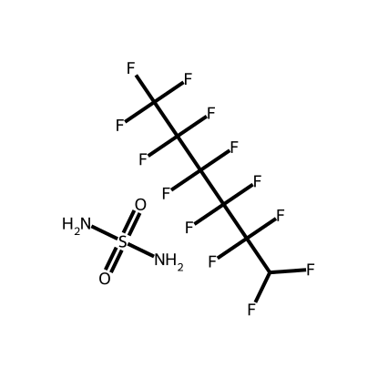 FC(F)C(F)(F)C(F)(F)C(F)(F)C(F)(F)C(F)(F)F.NS(N)(=O)=O